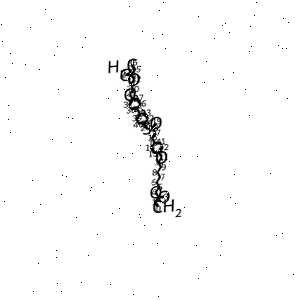 C=CC(=O)OCCCCCCOc1ccc(/C=C/C(=O)Sc2ccc(-c3ccc(OCCOC(=O)C=C)cc3)cc2)cc1